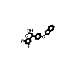 O=C(O)CC(c1ccc(OC2Cc3ccccc3C2)cc1)c1cc(F)cc(F)c1